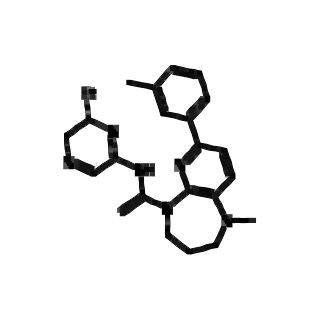 C=C(NC1=NC(CC)CN=C1)N1CCCN(C)c2ccc(-c3cccc(C)c3)nc21